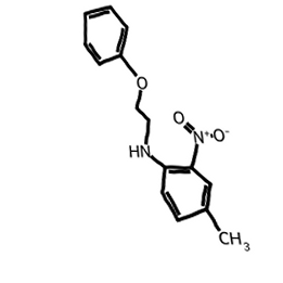 Cc1ccc(NCCOc2ccccc2)c([N+](=O)[O-])c1